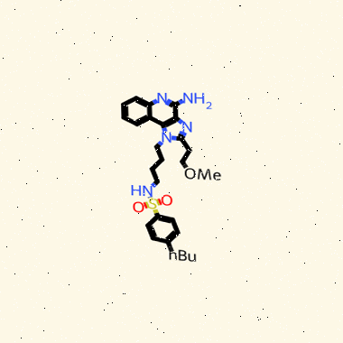 CCCCc1ccc(S(=O)(=O)NCCCCn2c(CCOC)nc3c(N)nc4ccccc4c32)cc1